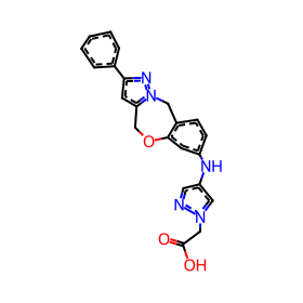 O=C(O)Cn1cc(Nc2ccc3c(c2)OCc2cc(-c4ccccc4)nn2C3)cn1